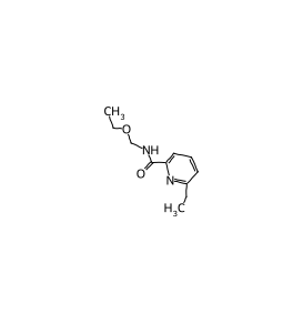 CCOCNC(=O)c1cccc(CC)n1